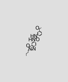 CCCCn1cnc2ccc(NC(=O)Nc3cccc(C(C)=O)c3)cc2c1=O